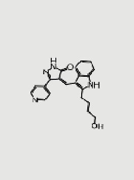 O=C1NN=C(c2ccncc2)C1=Cc1c(CCCCO)[nH]c2ccccc12